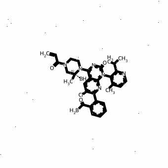 BC(=O)c1ccccc1-c1nc2c(cc1Cl)c(N1CCN(C(=O)C=C)C[C@]1(B)C)nc(=O)n2-c1c(C)ccnc1C(C)C